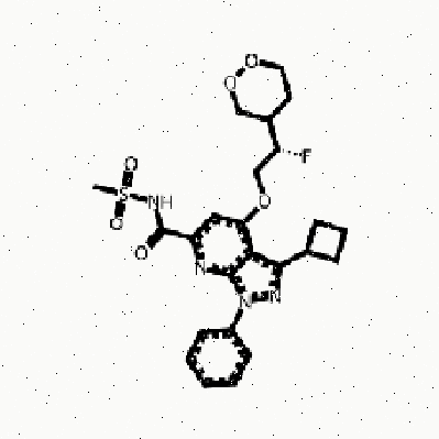 CS(=O)(=O)NC(=O)c1cc(OC[C@@H](F)C2CCOOC2)c2c(C3CCC3)nn(-c3ccccc3)c2n1